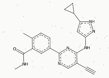 C#Cc1cnc(-c2ccc(C)c(C(=O)NC)c2)nc1Nc1cc(C2CC2)[nH]n1